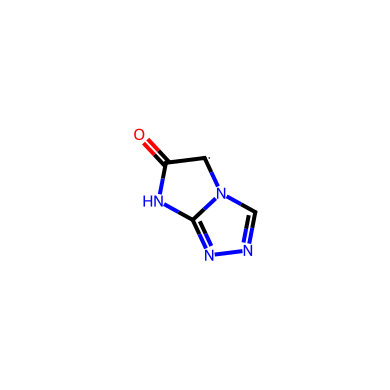 O=C1[CH]n2cnnc2N1